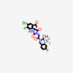 C[C@H](N(Cc1ccc(F)cc1)C(=O)CN1C(=O)N[C@]2(CC(=O)c3cc(Br)c(F)cc32)C1=O)C(F)(F)F